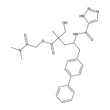 CN(C)C(=O)COC(=O)C(C)(CO)CC(Cc1ccc(-c2ccccc2)cc1)NC(=O)c1cnn[nH]1